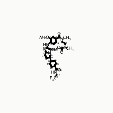 COc1cc(C(=O)N(C)CCN(C)C(=O)OC(C)(C)C)ccc1Nc1nc2ccc(-c3ccc(C(=O)NCC(F)(F)F)cc3)cn2n1